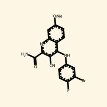 COc1[c]cc2c(Nc3ccc(F)c(Br)c3)c(C#N)c(C(N)=O)nc2c1